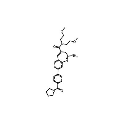 COCCN(CCOC)C(=O)C1=Cc2ccc(-c3ccc(C(=O)N4CCCC4)cc3)cc2N=C(N)C1